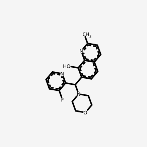 Cc1ccc2ccc(C(c3ncccc3F)N3CCOCC3)c(O)c2n1